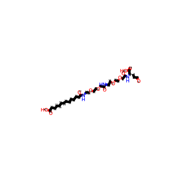 O=CCC[C@H](NC(=O)COCCOCCNC(=O)COCCOCCNC(=O)CCCCCCCCCCCCC(=O)O)C(=O)O